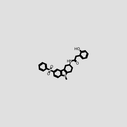 Cn1c2c(c3cc(S(=O)(=O)c4ccccc4)ccc31)C[C@@H](NC(=O)Cc1ccccc1O)CC2